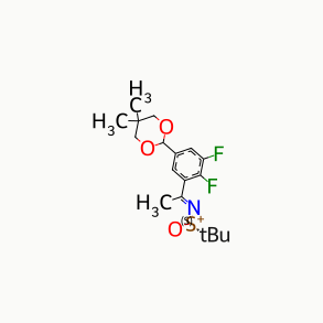 CC(=N[S@+]([O-])C(C)(C)C)c1cc(C2OCC(C)(C)CO2)cc(F)c1F